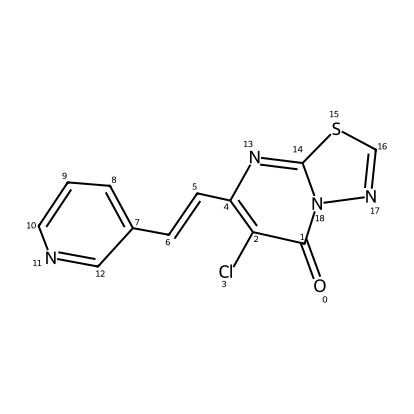 O=c1c(Cl)c(/C=C/c2cccnc2)nc2scnn12